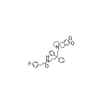 COc1cc2c(cc1OC)CC1(CCCCN1CCCC(CCCNC(=O)CCc1ccc(F)cc1)(c1ccccc1)c1ccccc1)CC2